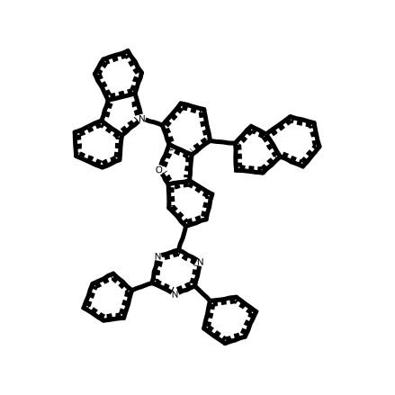 c1ccc(-c2nc(-c3ccccc3)nc(-c3ccc4c(c3)oc3c(-n5c6ccccc6c6ccccc65)ccc(-c5ccc6ccccc6c5)c34)n2)cc1